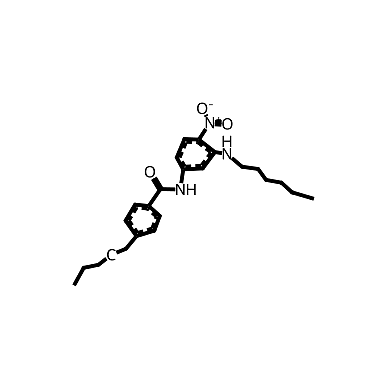 CCCCCCNc1cc(NC(=O)c2ccc(CCCCC)cc2)ccc1[N+](=O)[O-]